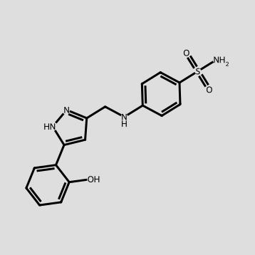 NS(=O)(=O)c1ccc(NCc2cc(-c3ccccc3O)[nH]n2)cc1